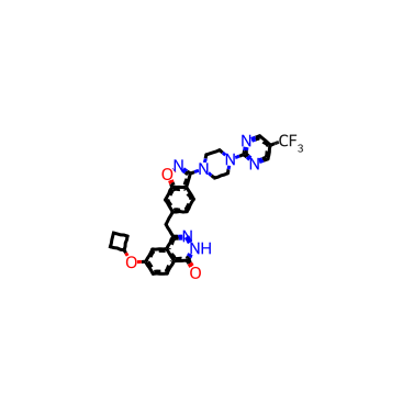 O=c1[nH]nc(Cc2ccc3c(N4CCN(c5ncc(C(F)(F)F)cn5)CC4)noc3c2)c2cc(OC3CCC3)ccc12